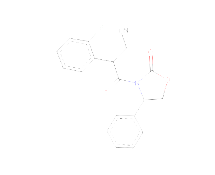 N#CCC(C(=O)N1C(=O)OCC1c1ccccc1)c1ccccc1F